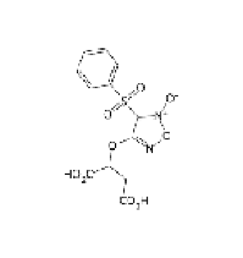 O=C(O)CC(Oc1no[n+]([O-])c1S(=O)(=O)c1ccccc1)C(=O)O